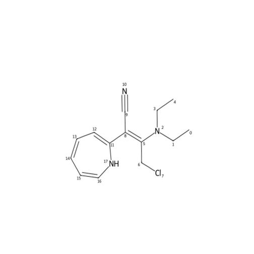 CCN(CC)/C(CCl)=C(\C#N)C1=CC=CC=CN1